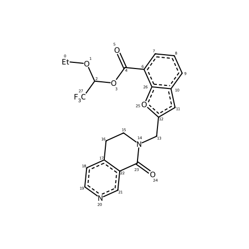 CCOC(OC(=O)c1cccc2cc(CN3CCc4ccncc4C3=O)oc12)C(F)(F)F